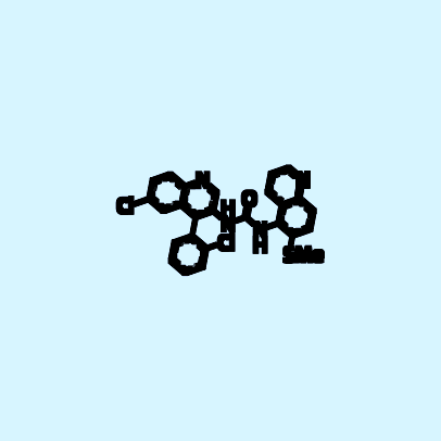 CSc1ccc2ncccc2c1NC(=O)Nc1cnc2ccc(Cl)cc2c1-c1ccccc1Cl